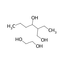 CCCC(O)C(CC)CO.OCCO